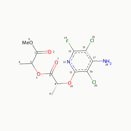 COC(=O)C(C)OC(=O)[C@@H](C)Oc1nc(F)c(Cl)c(N)c1Cl